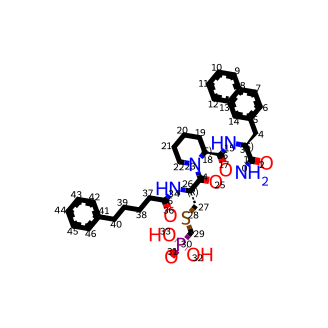 NC(=O)[C@H](Cc1ccc2ccccc2c1)NC(=O)[C@@H]1CCCCN1C(=O)[C@H](CSCP(=O)(O)O)NC(=O)CCCCc1ccccc1